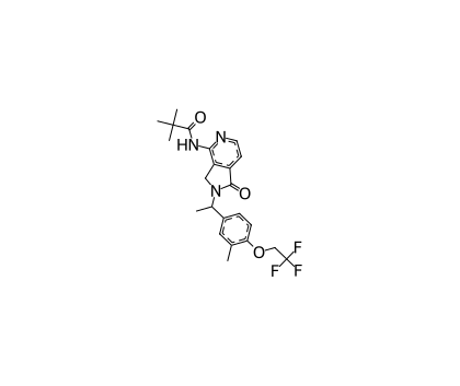 Cc1cc(C(C)N2Cc3c(ccnc3NC(=O)C(C)(C)C)C2=O)ccc1OCC(F)(F)F